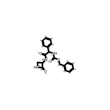 O=C(NC(C(=O)NC1CNC1=O)c1ccccc1)OCc1ccccc1